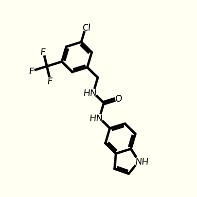 O=C(NCc1cc(Cl)cc(C(F)(F)F)c1)Nc1ccc2[nH]ccc2c1